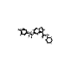 O=C(NC1CCCCC1)c1cnn2ccc(NS(=O)(=O)c3ccc(F)c(F)c3)nc12